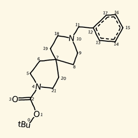 CC(C)(C)OC(=O)N1CCC2(CCN(Cc3ccccc3)CC2)CC1